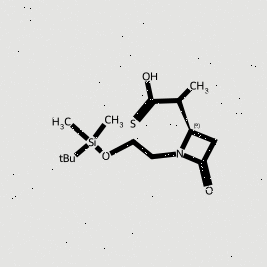 CC(C(O)=S)[C@H]1CC(=O)N1CCO[Si](C)(C)C(C)(C)C